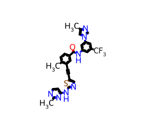 Cc1cn(-c2cc(NC(=O)c3ccc(C)c(C#Cc4cnc(Nc5ccnc(C)n5)s4)c3)cc(C(F)(F)F)c2)cn1